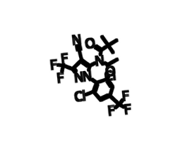 CC(=O)N(C(=O)C(C)(C)C)c1c(C#N)c(C(F)(F)F)nn1-c1c(Cl)cc(C(F)(F)F)cc1Cl